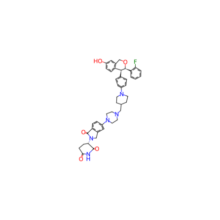 O=C1CC[C@H](N2Cc3cc(N4CCN(CC5CCN(c6ccc([C@H]7c8ccc(O)cc8CO[C@H]7c7ccccc7F)cc6)CC5)CC4)ccc3C2=O)C(=O)N1